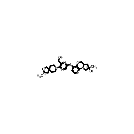 C[C@H]1CC2(CCN(c3ncc(Sc4ccnc5c4OCC4C[C@](C)(O)CN54)nc3CO)CC2)CO1